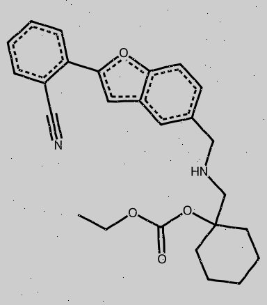 CCOC(=O)OC1(CNCc2ccc3oc(-c4ccccc4C#N)cc3c2)CCCCC1